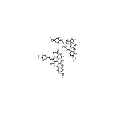 COc1ccc(C=CC(=O)C2C(=O)CC(c3ccc(OC)cc3)C([N+](=O)[O-])C2c2cccc([N+](=O)[O-])c2)cc1.COc1ccc(C=CC(=O)C2C(=O)CC(c3ccc(OC)cc3)C([N+](=O)[O-])C2c2ccco2)cc1